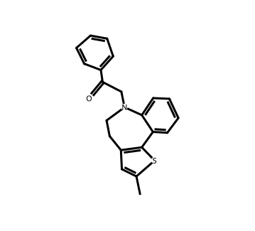 Cc1cc2c(s1)-c1ccccc1N(CC(=O)c1ccccc1)CC2